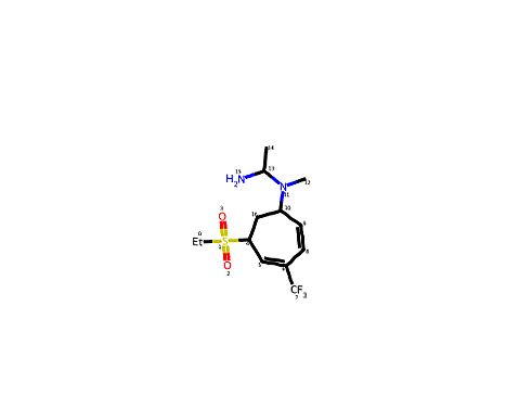 CCS(=O)(=O)C1C=C(C(F)(F)F)C=CC(N(C)C(C)N)C1